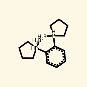 B[PH]1(c2ccccc2[PH]2(B)CCCC2)CCCC1